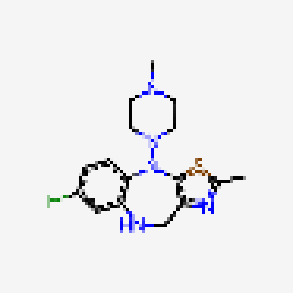 Cc1nc2c(s1)N(N1CCN(C)CC1)c1ccc(F)cc1NC2